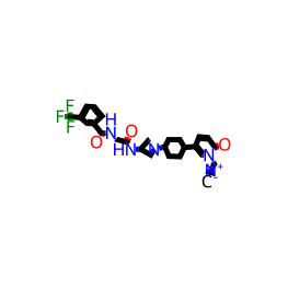 [C-]#[N+]Cn1cc(C2CCC(N3CC(NC(=O)CNC(=O)c4cccc(C(F)(F)F)c4)C3)CC2)ccc1=O